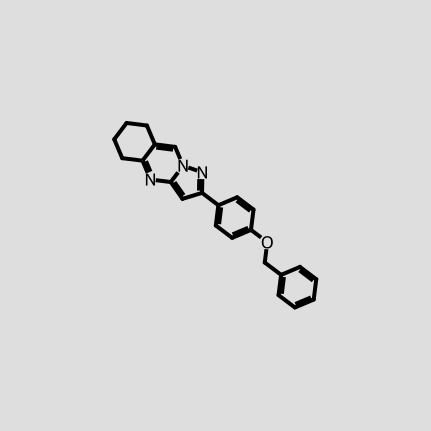 c1ccc(COc2ccc(-c3cc4nc5c(cn4n3)CCCC5)cc2)cc1